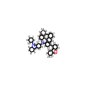 c1ccc(-n2c3ccccc3c3ccc(N(c4ccc(-c5cccc6oc7ccccc7c56)cc4)c4ccccc4-c4cccc5cccc(C6CCCCC6)c45)cc32)cc1